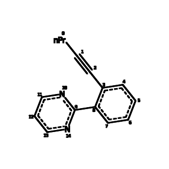 CCCC#Cc1ccccc1-c1ncccn1